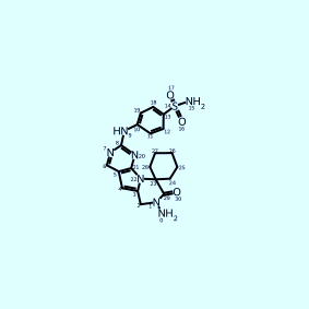 NN1Cc2cc3cnc(Nc4ccc(S(N)(=O)=O)cc4)nc3n2C2(CCCCC2)C1=O